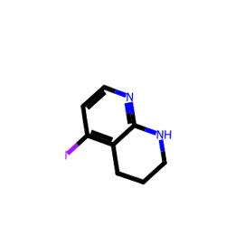 Ic1ccnc2c1CCCN2